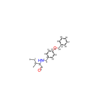 CCC(C)C(C=O)NCc1ccc(OCc2ccccc2)cc1